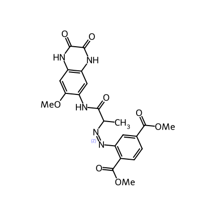 COC(=O)c1ccc(C(=O)OC)c(/N=N\C(C)C(=O)Nc2cc3[nH]c(=O)c(=O)[nH]c3cc2OC)c1